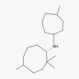 CC1CCCC(N[C@H]2CCCC(C)CCC2(C)C)CC1